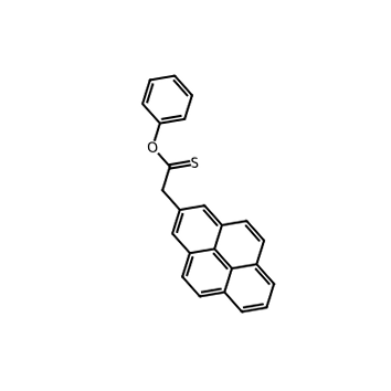 S=C(Cc1cc2ccc3cccc4ccc(c1)c2c34)Oc1ccccc1